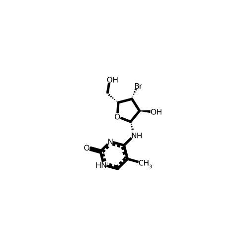 Cc1c[nH]c(=O)nc1N[C@@H]1O[C@H](CO)[C@H](Br)[C@H]1O